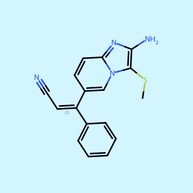 CSc1c(N)nc2ccc(/C(=C\C#N)c3ccccc3)cn12